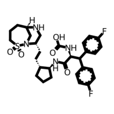 O=C(O)N[C@H](C(=O)N[C@H]1CCC[C@@H]1CC[C@H]1CN[C@@H]2CCCS(=O)(=O)N1C2)C(c1ccc(F)cc1)c1ccc(F)cc1